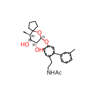 CC(=O)NCCc1ccc(O[C@@H]2OC3(CCCC3)[C@H](C)[C@@H](O)[C@H]2O)cc1-c1cccc(C)c1